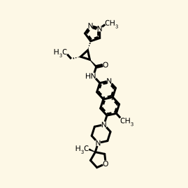 CC[C@H]1[C@H](C(=O)Nc2cc3cc(N4CCN([C@@]5(C)CCOC5)CC4)c(C)cc3cn2)[C@H]1c1cnn(C)c1